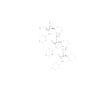 CCCCCCc1ccc(-c2cc3ccccc3[nH]c2=O)cc1.CCCCCCc1ccc(-c2cc3ccccc3[nH]c2=O)cc1.CCCCCCc1ccc(-c2cc3ccccc3[nH]c2=O)cc1.[Ir]